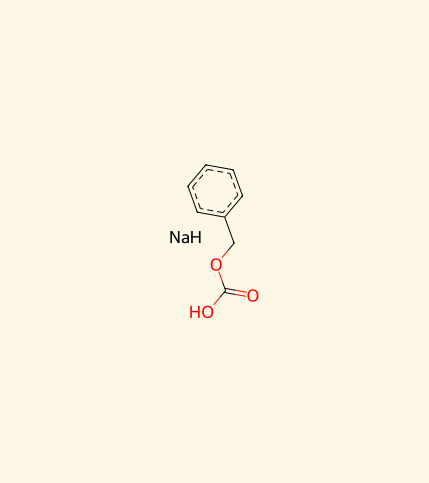 O=C(O)OCc1ccccc1.[NaH]